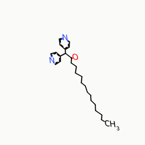 CCCCCCCCCCCCCCC(=O)C(c1ccncc1)c1ccncc1